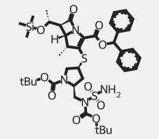 C[C@@H](O[Si](C)(C)C)[C@H]1C(=O)N2C(C(=O)OC(c3ccccc3)c3ccccc3)=C(S[C@H]3C[C@@H](CN(C(=O)OC(C)(C)C)S(N)(=O)=O)N(C(=O)OC(C)(C)C)C3)[C@H](C)[C@H]12